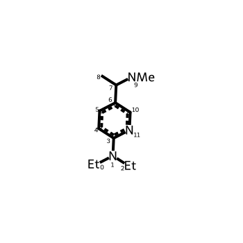 CCN(CC)c1ccc(C(C)NC)cn1